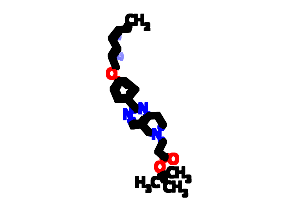 C=C/C=C\C=C\COc1ccc(-c2ncc3c(n2)CCN(CCC(=O)OC(C)(C)C)C3)cc1